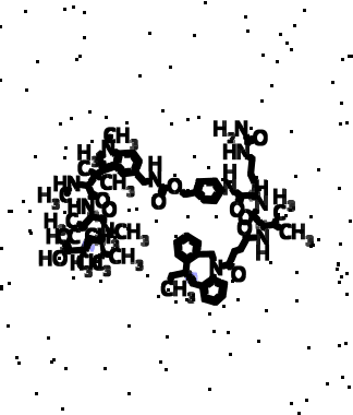 CC/C1=C/c2ccccc2N(C(=O)CCC(=O)N[C@H](C(=O)N[C@@H](CCCNC(N)=O)C(=O)Nc2ccc(COC(=O)NCc3ccc4c(c3)c(C(C)(C)C(NC)C(=O)N[C@H](C(=O)N(C)[C@H](/C=C(\C)C(=O)O)C(C)C)C(C)(C)C)cn4C)cc2)C(C)C)Cc2ccccc21